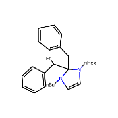 CCCCCCN1C=CN(CCCC)C1(Cc1ccccc1)C(CC)c1ccccc1